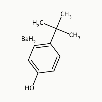 CC(C)(C)c1ccc(O)cc1.[BaH2]